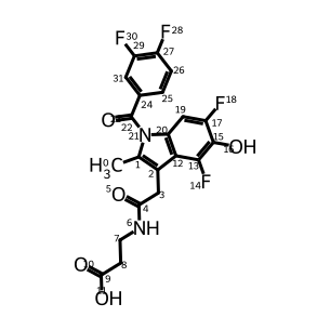 Cc1c(CC(=O)NCCC(=O)O)c2c(F)c(O)c(F)cc2n1C(=O)c1ccc(F)c(F)c1